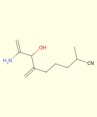 C=C(N)C(O)C(=C)CCCC(C)C#N